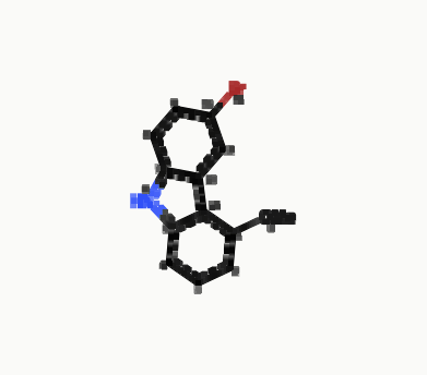 COc1cccc2[nH]c3ccc(Br)cc3c12